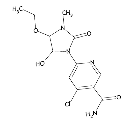 CCOC1C(O)N(c2cc(Cl)c(C(N)=O)cn2)C(=O)N1C